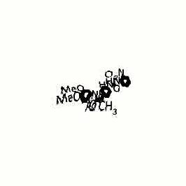 COc1cc(NC(=O)C(C)c2ccc(NC(=O)Nc3ccccc3[N+](=O)[O-])cc2)c(C(C)=O)cc1OC